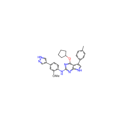 COc1cc(-c2cn[nH]c2)ccc1Nc1nc(OC2CCCC2)c2c(-c3ccc(C)cc3)c[nH]c2n1